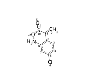 C=C(c1ccc(Cl)cc1N)[SH](=O)=O